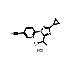 CC(N)c1nc(C2CC2)nn1-c1ccc(C#N)cn1.Cl